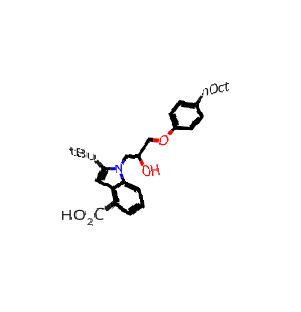 CCCCCCCCc1ccc(OCC(O)Cn2c(C(C)(C)C)cc3c(C(=O)O)cccc32)cc1